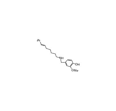 COc1cc(CNCCCCCC=CC(C)C)ccc1O